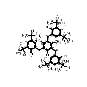 Cc1c(Cc2cc(C(C)(C)C)cc(C(C)(C)C)c2O)c(C)c(Cc2cc(C(C)(C)C)cc(C(C)(C)C)c2O)c(C)c1Cc1cc(C(C)(C)C)cc(C(C)(C)C)c1O